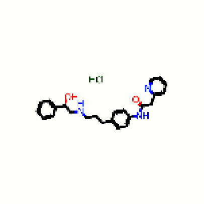 Cl.O=C(Cc1ccccn1)Nc1ccc(CCCNC[C@H](O)c2ccccc2)cc1